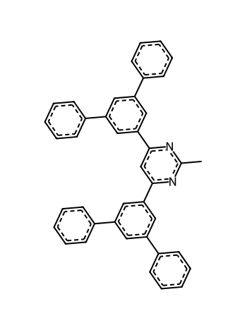 Cc1nc(-c2cc(-c3ccccc3)cc(-c3ccccc3)c2)cc(-c2cc(-c3ccccc3)cc(-c3ccccc3)c2)n1